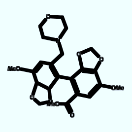 COC(=O)c1cc(OC)c2c(c1C1=C(CN3CCOCC3)C=C(OC)C3OCOC13)OCO2